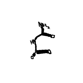 NC(=O)NP(=O)=O